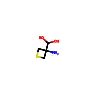 NC1([C](O)O)CSC1